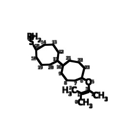 CC(C)=C(C)OC1CCCC(C2CCCC(SP)CCC2)CCC1